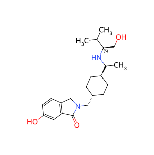 CC(C)[C@@H](CO)NC(C)[C@H]1CC[C@H](CN2Cc3ccc(O)cc3C2=O)CC1